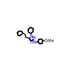 COc1ccc(Nc2cc(CCc3ccccc3)n(-c3ccccc3)n2)cc1